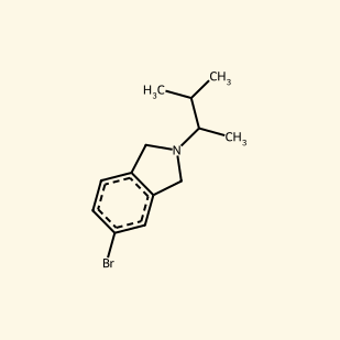 CC(C)C(C)N1Cc2ccc(Br)cc2C1